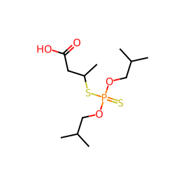 CC(C)COP(=S)(OCC(C)C)SC(C)CC(=O)O